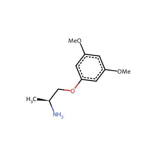 COc1cc(OC)cc(OC[C@H](C)N)c1